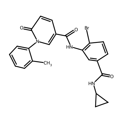 Cc1ccccc1-n1cc(C(=O)Nc2cc(C(=O)NC3CC3)ccc2Br)ccc1=O